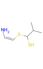 CC(C)C(S)S/C=C\N